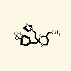 CCC1CCSC(CCn2ccnc2)(Cc2ccc(OC)cc2)S1